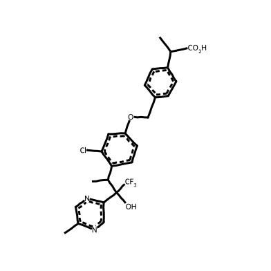 Cc1cnc(C(O)(C(C)c2ccc(OCc3ccc(C(C)C(=O)O)cc3)cc2Cl)C(F)(F)F)cn1